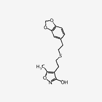 Cc1onc(O)c1CCSCCc1ccc2c(c1)OCO2